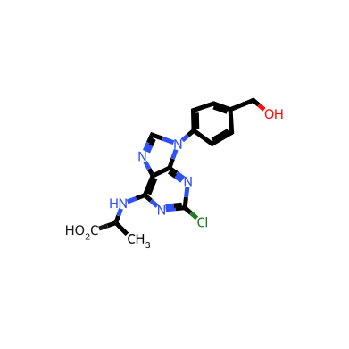 CC(Nc1nc(Cl)nc2c1ncn2-c1ccc(CO)cc1)C(=O)O